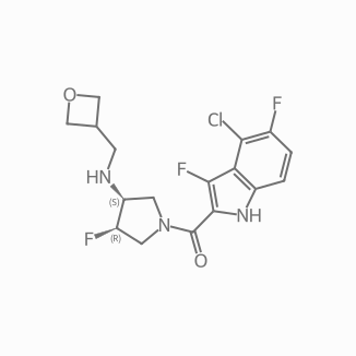 O=C(c1[nH]c2ccc(F)c(Cl)c2c1F)N1C[C@@H](F)[C@@H](NCC2COC2)C1